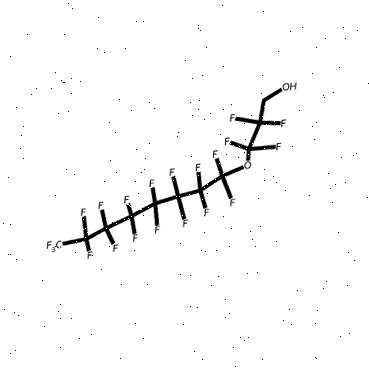 OCC(F)(F)C(F)(F)OC(F)(F)C(F)(F)C(F)(F)C(F)(F)C(F)(F)C(F)(F)C(F)(F)C(F)(F)F